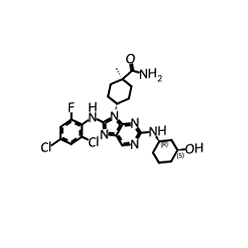 C[C@]1(C(N)=O)CC[C@H](n2c(Nc3c(F)cc(Cl)cc3Cl)nc3cnc(N[C@@H]4CCC[C@H](O)C4)nc32)CC1